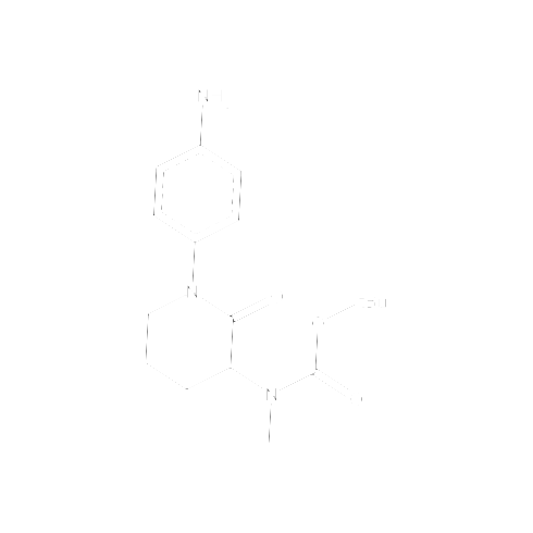 CN(C(=O)OC(C)(C)C)C1CCCN(c2ccc(N)cc2)C1=O